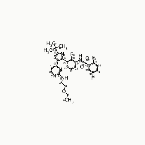 CCOCCNc1nccc(-c2sc(C(C)(C)C)nc2-c2cccc(NS(=O)(=O)c3cc(F)ccc3F)c2F)n1